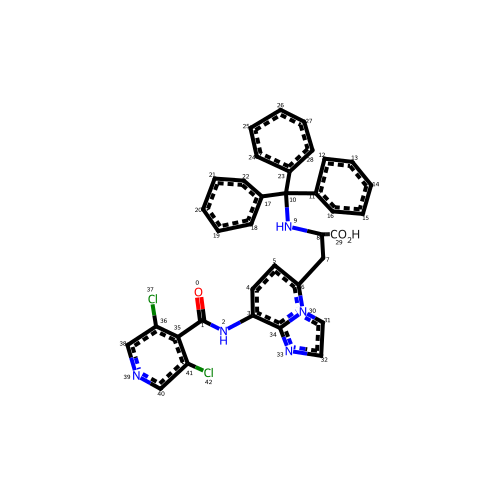 O=C(Nc1ccc(CC(NC(c2ccccc2)(c2ccccc2)c2ccccc2)C(=O)O)n2ccnc12)c1c(Cl)cncc1Cl